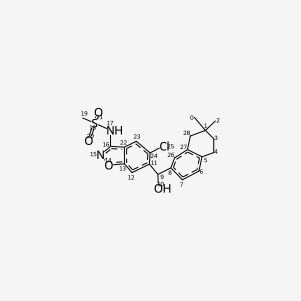 CC1(C)CCc2ccc(C(O)c3cc4onc(NS(C)(=O)=O)c4cc3Cl)cc2C1